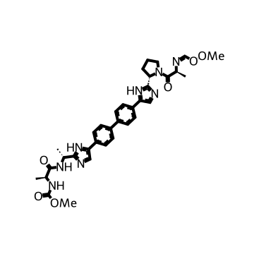 COO/C=N\[C@@H](C)C(=O)N1CCC[C@H]1c1ncc(-c2ccc(-c3ccc(-c4cnc([C@@H](C)NC(=O)[C@H](C)NC(=O)OC)[nH]4)cc3)cc2)[nH]1